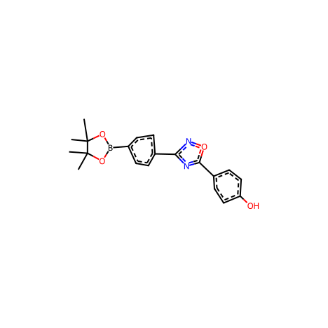 CC1(C)OB(c2ccc(-c3noc(-c4ccc(O)cc4)n3)cc2)OC1(C)C